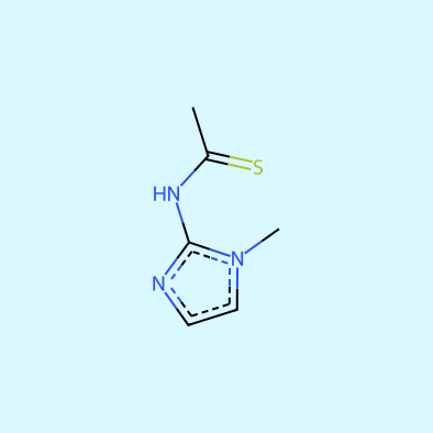 CC(=S)Nc1nccn1C